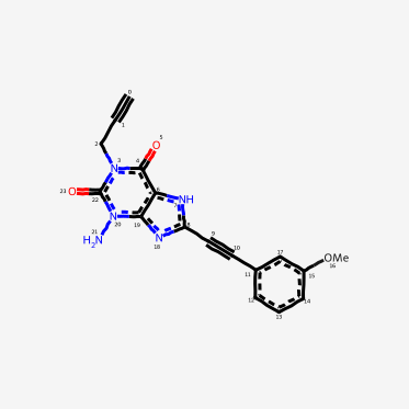 C#CCn1c(=O)c2[nH]c(C#Cc3cccc(OC)c3)nc2n(N)c1=O